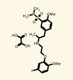 COc1ccc(F)cc1OCCNC(C)Cc1ccc(OC)c(S(=O)(=O)N(C)C)c1.O=C(O)C(=O)O